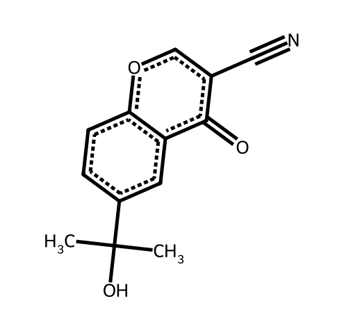 CC(C)(O)c1ccc2occ(C#N)c(=O)c2c1